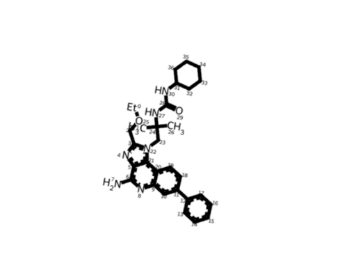 CCOCc1nc2c(N)nc3cc(-c4ccccc4)ccc3c2n1CC(C)(C)NC(=O)NC1CCCCC1